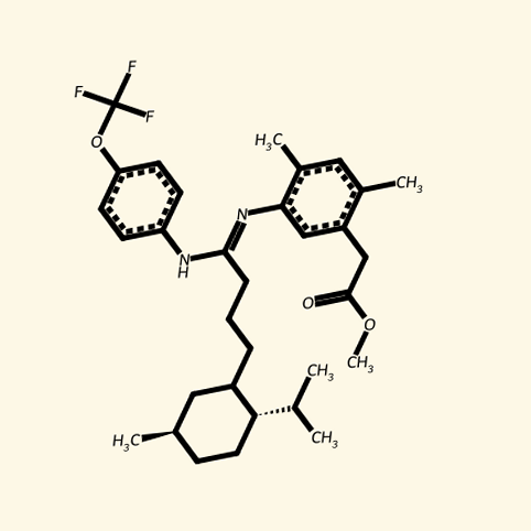 COC(=O)Cc1cc(/N=C(\CCCC2C[C@H](C)CC[C@H]2C(C)C)Nc2ccc(OC(F)(F)F)cc2)c(C)cc1C